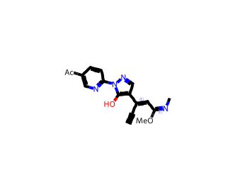 C#C/C(=C\C(=N/C)OC)c1cnn(-c2ccc(C(C)=O)cn2)c1O